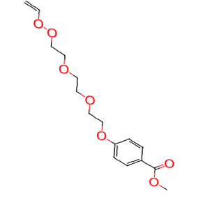 C=COOCCOCCOCCOc1ccc(C(=O)OC)cc1